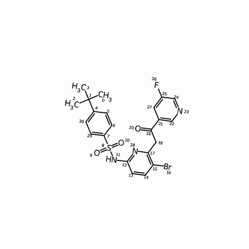 CC(C)(C)c1ccc(S(=O)(=O)Nc2ccc(Br)c(CC(=O)c3cncc(F)c3)n2)cc1